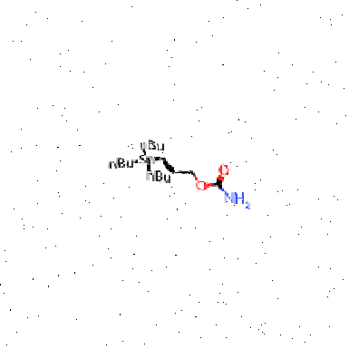 CCC[CH2][Sn](/[CH]=C/COC(N)=O)([CH2]CCC)[CH2]CCC